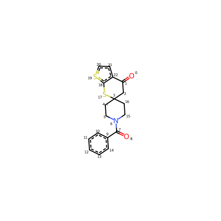 O=C1CC2([CH]CN(C(=O)c3ccccc3)CC2)Sc2sccc21